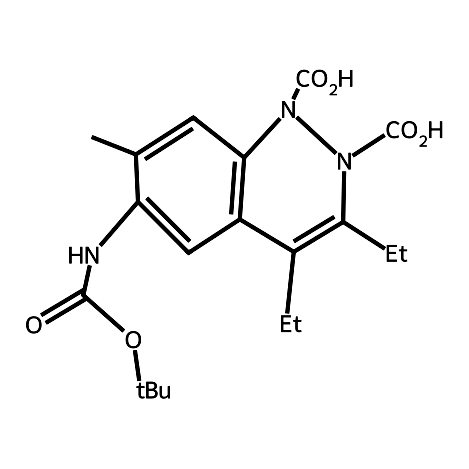 CCC1=C(CC)N(C(=O)O)N(C(=O)O)c2cc(C)c(NC(=O)OC(C)(C)C)cc21